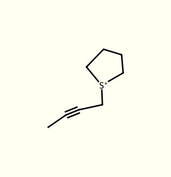 CC#CC[S+]1CCCC1